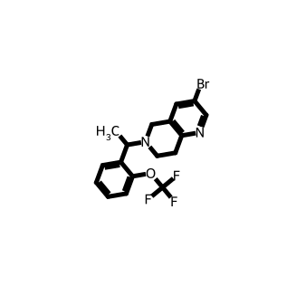 CC(c1ccccc1OC(F)(F)F)N1CCc2ncc(Br)cc2C1